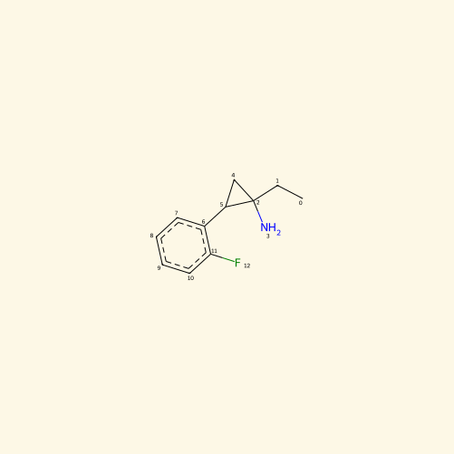 CCC1(N)CC1c1ccccc1F